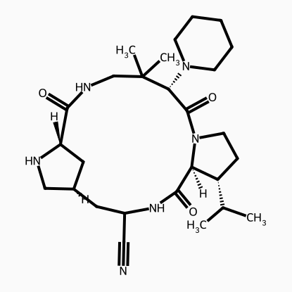 CC(C)[C@H]1CCN2C(=O)[C@@H](N3CCCCC3)C(C)(C)CNC(=O)[C@@H]3C[C@H](CN3)CC(C#N)NC(=O)[C@H]12